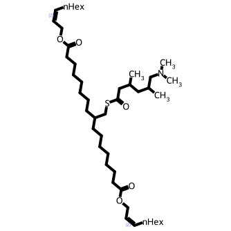 CCCCCC/C=C\COC(=O)CCCCCCCC(CCCCCCCC(=O)OC/C=C\CCCCCC)CSC(=O)CC(C)CC(C)CN(C)C